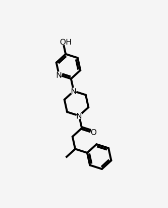 CC(CC(=O)N1CCN(c2ccc(O)cn2)CC1)c1ccccc1